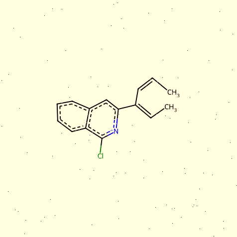 C/C=C\C(=C/C)c1cc2ccccc2c(Cl)n1